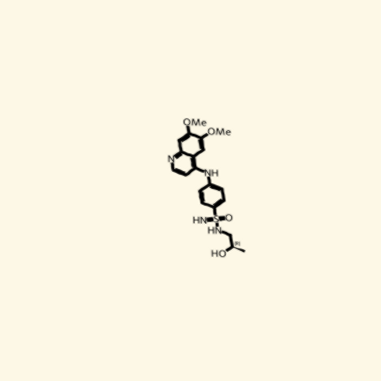 COc1cc2nccc(Nc3ccc(S(=N)(=O)NC[C@@H](C)O)cc3)c2cc1OC